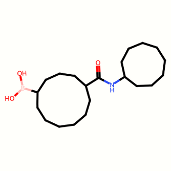 O=C(NC1CCCCCCCC1)C1CCCCCCC(B(O)O)CCC1